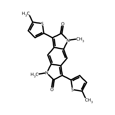 Cc1ccc(C2=c3cc4c(cc3N(C)C2=O)=C(c2ccc(C)s2)C(=O)N4C)s1